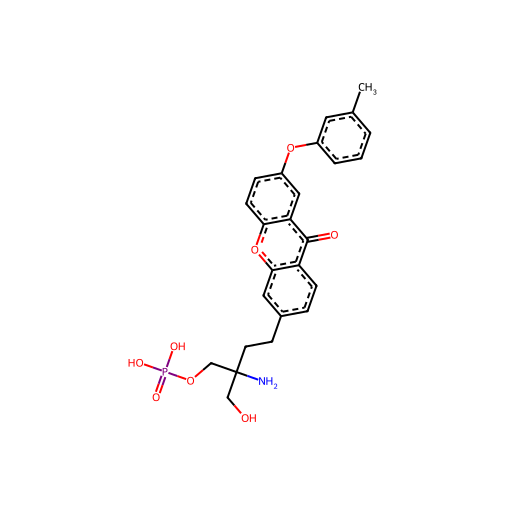 Cc1cccc(Oc2ccc3oc4cc(CCC(N)(CO)COP(=O)(O)O)ccc4c(=O)c3c2)c1